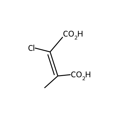 C/C(C(=O)O)=C(\Cl)C(=O)O